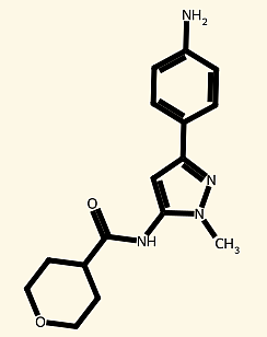 Cn1nc(-c2ccc(N)cc2)cc1NC(=O)C1CCOCC1